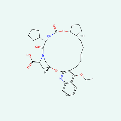 CCOc1c2c(nc3ccccc13)O[C@@H]1C[C@@H](C(=O)O)N(C1)C(=O)[C@H](C1CCCC1)NC(=O)OC1CCC[C@H]1CC/C=C/C2